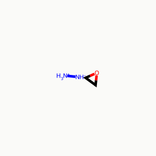 C1CO1.[NH-][NH3+]